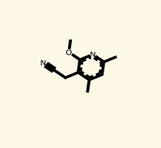 COc1nc(C)cc(C)c1CC#N